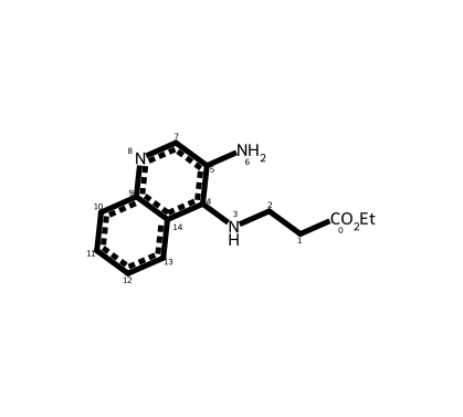 CCOC(=O)CCNc1c(N)cnc2ccccc12